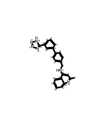 Cc1cc(NCc2ccc(-c3cccc(-c4nnn[nH]4)c3)cc2)c2ccccc2n1